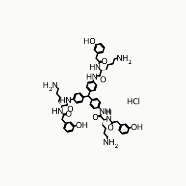 Cl.NCCCC[C@@H](NC(=O)Cc1cccc(O)c1)C(=O)Nc1ccc(C(c2ccc(NC(=O)[C@@H](CCCCN)NC(=O)Cc3cccc(O)c3)cc2)c2ccc(NC(=O)[C@@H](CCCCN)NC(=O)Cc3cccc(O)c3)cc2)cc1